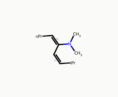 CCC/C=C(\C=C/C(C)C)N(C)C